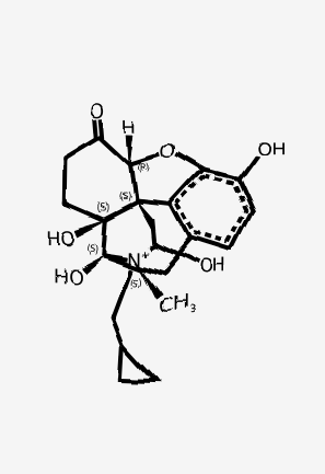 C[N@+]1(CC2CC2)C(O)C[C@]23c4c5ccc(O)c4O[C@H]2C(=O)CC[C@@]3(O)[C@@]1(O)C5